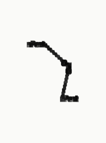 CCCCCC=CCC=CCCCCCCCCCCOCCN(C)CCOCCCCCCCCCCC=CCC=CCCCCC